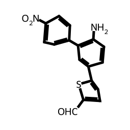 Nc1ccc(-c2ccc(C=O)s2)cc1-c1ccc([N+](=O)[O-])cc1